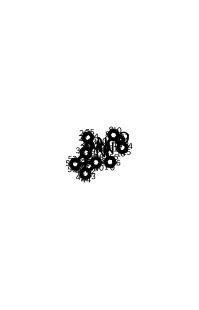 c1ccc(-c2nc(-c3cccc4oc5ccccc5c34)nc(-n3c4ccccc4c4cc5c(cc43)C3(c4ccccc4-c4ccccc43)c3ccccc3-5)n2)cc1